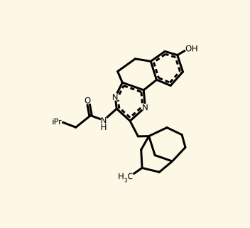 CC(C)CC(=O)Nc1nc2c(nc1CC13CCCC(CC(C)C1)C3)-c1ccc(O)cc1CC2